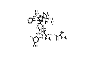 BC(B)(CN)C(B)(B)C[C@H](NC(=O)[C@H](Cc1c(C)cc(O)cc1C)NC(=O)[C@H](N)CCCNC(=N)N)C(=O)N[C@@](B)(Cc1ccccc1)C(N)=O